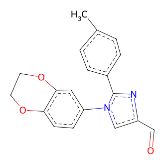 Cc1ccc(-c2nc(C=O)cn2-c2ccc3c(c2)OCCO3)cc1